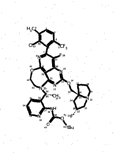 Cc1ccc(C(F)(F)F)c(-c2nc3c4c(nc(OC[C@@]56CCCN5C[C@H](F)C6)nc4c2F)N([C@H](C)c2cccnc2NC(=O)OC(C)(C)C)CCO3)c1Cl